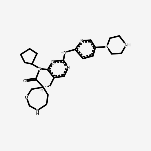 O=C1N(C2CCCC2)c2nc(Nc3ccc(N4CCNCC4)cn3)ncc2C[C@@]12CCNCOC2